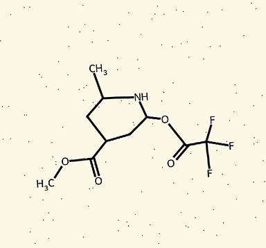 COC(=O)C1CC(C)NC(OC(=O)C(F)(F)F)C1